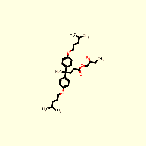 CCC(O)COC(=O)CCC(C)(c1ccc(OCCCC(C)C)cc1)c1ccc(OCCCC(C)C)cc1